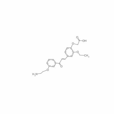 CCOc1cc(C=CC(=O)c2cccc(OCCN)c2)ccc1OCC(=O)O